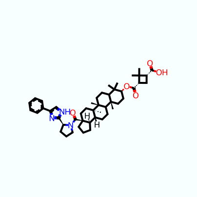 CC1(C)C2CC[C@]3(C)C(CC[C@@H]4[C@H]5CCC[C@]5(C(=O)N5CCC[C@H]5c5nc(-c6ccccc6)c[nH]5)CC[C@]43C)[C@@]2(C)CC[C@@H]1OC(=O)[C@H]1C[C@@H](C(=O)O)C1(C)C